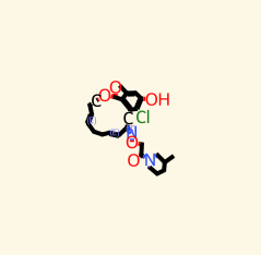 Cc1cc(O)c(Cl)c2c1C(=O)OCC/C=C/CC/C=C/C(=N\OCC(=O)N1CCCC(C)C1)C2